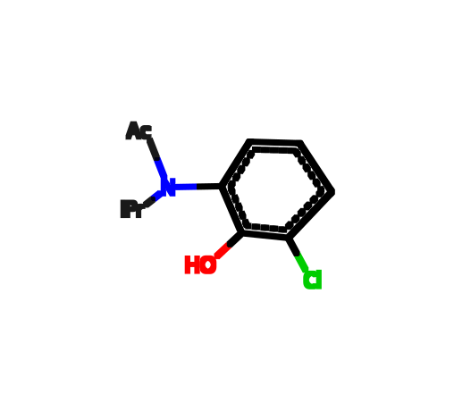 CC(=O)N(c1cccc(Cl)c1O)C(C)C